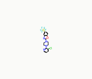 FS(F)(F)(F)(F)c1ccc2oc(N3CCN(c4ncccc4Cl)CC3)nc2c1